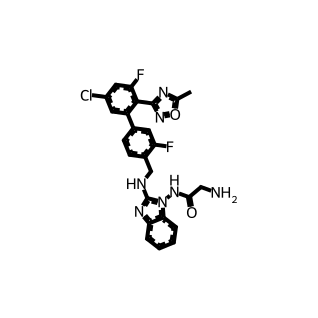 Cc1nc(-c2c(F)cc(Cl)cc2-c2ccc(CNc3nc4ccccc4n3NC(=O)CN)c(F)c2)no1